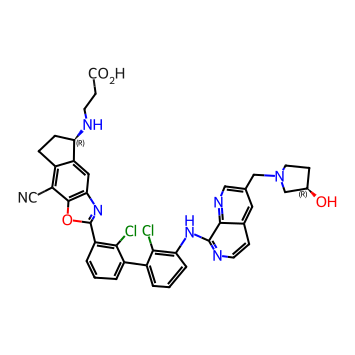 N#Cc1c2c(cc3nc(-c4cccc(-c5cccc(Nc6nccc7cc(CN8CC[C@@H](O)C8)cnc67)c5Cl)c4Cl)oc13)[C@H](NCCC(=O)O)CC2